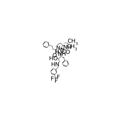 CC(=O)N[C@]1(CC(C)C)CCN(C(CCc2ccccc2)C(=O)N[C@@H](Cc2ccccc2)[C@H](O)CNCc2cccc(C(F)(F)F)c2)C1=O